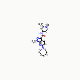 CCN1CCC(NC(=O)c2nn(C)c3nc(N4CCCCCCC4)ccc23)CC1C